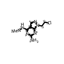 CNNc1nc(N)nc2c1cnn2CCCl